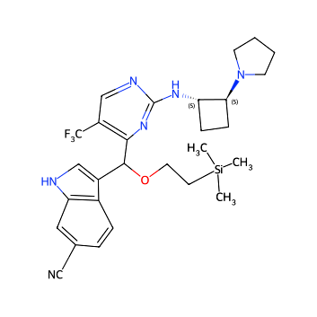 C[Si](C)(C)CCOC(c1nc(N[C@H]2CC[C@@H]2N2CCCC2)ncc1C(F)(F)F)c1c[nH]c2cc(C#N)ccc12